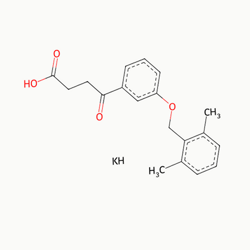 Cc1cccc(C)c1COc1cccc(C(=O)CCC(=O)O)c1.[KH]